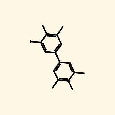 Cc1cc(-c2cc(C)c(C)c(I)c2)cc(C)c1C